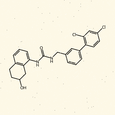 O=C(NCc1cccc(-c2ccc(Cl)cc2Cl)c1)Nc1cccc2c1CC(O)CC2